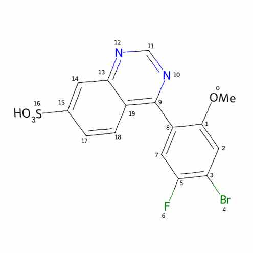 COc1cc(Br)c(F)cc1-c1ncnc2cc(S(=O)(=O)O)ccc12